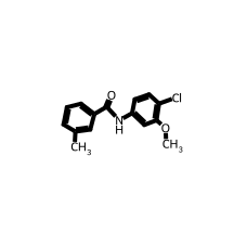 COc1cc(NC(=O)c2cccc(C)c2)ccc1Cl